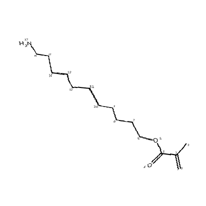 C=C(C)C(=O)OCCCCCCCCCCCN